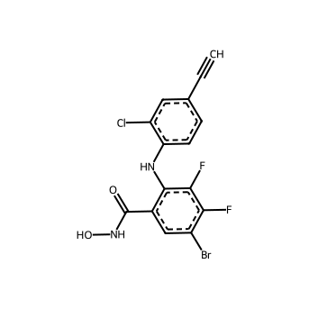 C#Cc1ccc(Nc2c(C(=O)NO)cc(Br)c(F)c2F)c(Cl)c1